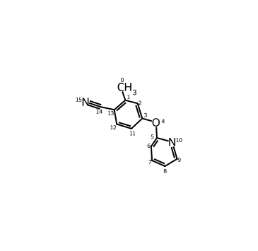 Cc1cc(Oc2ccccn2)ccc1C#N